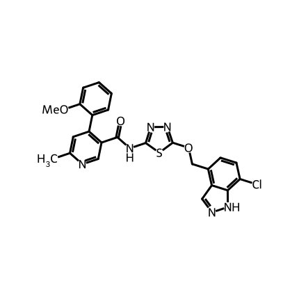 COc1ccccc1-c1cc(C)ncc1C(=O)Nc1nnc(OCc2ccc(Cl)c3[nH]ncc23)s1